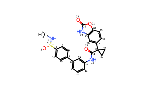 CN[S+]([O-])c1ccc(-c2cccc(NC(=O)C3(c4ccc5oc(=O)[nH]c5c4)CC3)c2)cc1